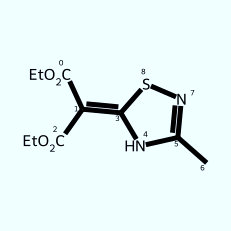 CCOC(=O)C(C(=O)OCC)=C1NC(C)=NS1